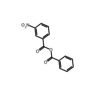 O=C(OC(=O)c1cccc([N+](=O)[O-])c1)c1ccccc1